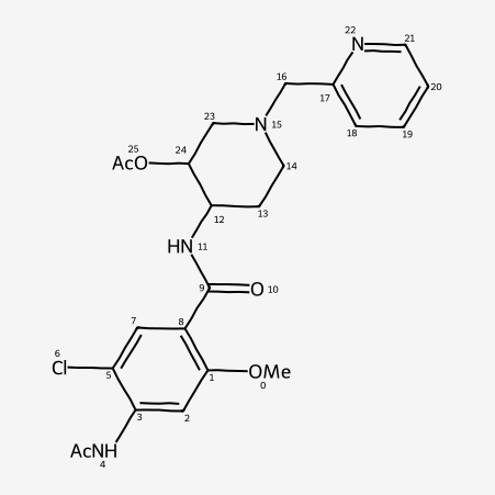 COc1cc(NC(C)=O)c(Cl)cc1C(=O)NC1CCN(Cc2ccccn2)CC1OC(C)=O